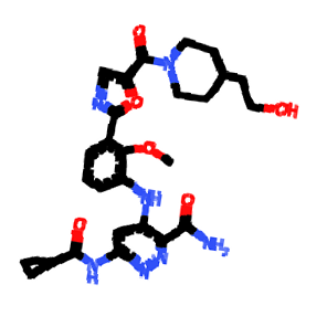 COc1c(Nc2cc(NC(=O)C3CC3)nnc2C(N)=O)cccc1-c1ncc(C(=O)N2CCC(CCO)CC2)o1